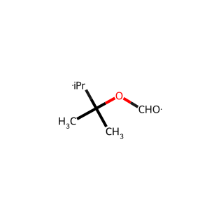 C[C](C)C(C)(C)O[C]=O